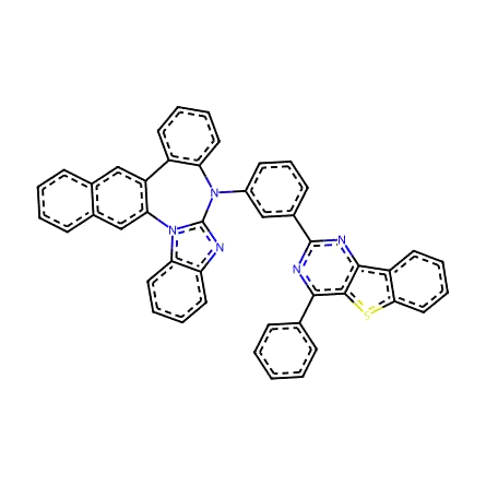 c1ccc(-c2nc(-c3cccc(N4c5ccccc5-c5cc6ccccc6cc5-n5c4nc4ccccc45)c3)nc3c2sc2ccccc23)cc1